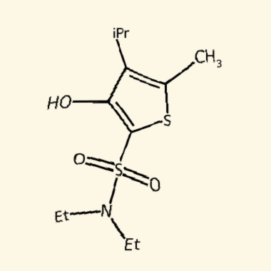 CCN(CC)S(=O)(=O)c1sc(C)c(C(C)C)c1O